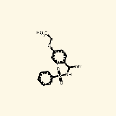 CCCC(NS(=O)(=O)c1ccccc1)c1ccc(OCC(=O)O)cc1